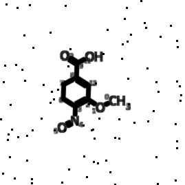 COC1=C(N=O)CCC(C(=O)O)=C1